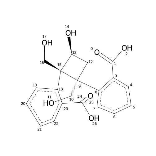 O=C(O)c1ccccc1[C@]1(CO)C[C@H](O)[C@@]1(CO)c1ccccc1C(=O)O